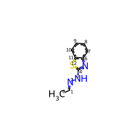 CC=NNc1nc2ccccc2s1